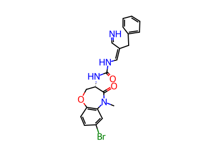 CN1C(=O)[C@@H](NC(=O)N/C=C(\C=N)Cc2ccccc2)COc2ccc(Br)cc21